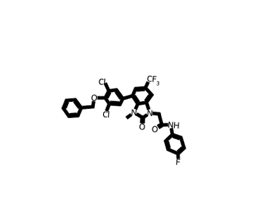 Cn1c(=O)n(CC(=O)Nc2ccc(F)cc2)c2cc(C(F)(F)F)cc(-c3cc(Cl)c(OCc4ccccc4)c(Cl)c3)c21